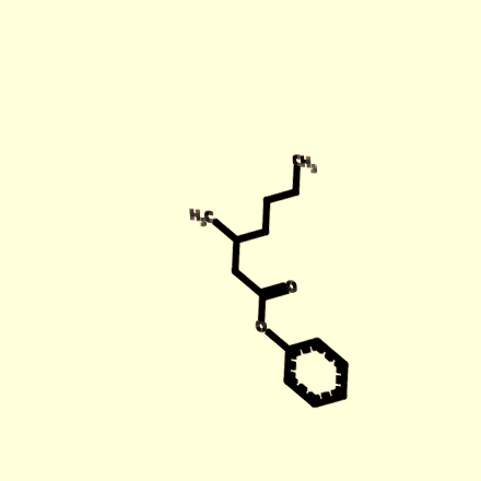 CCCCC(C)CC(=O)Oc1ccccc1